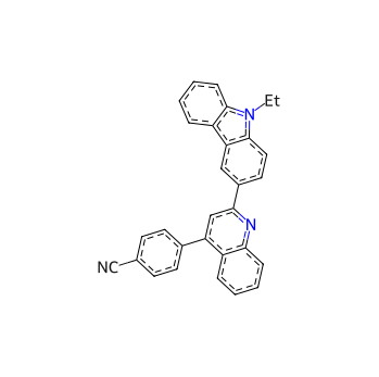 CCn1c2ccccc2c2cc(-c3cc(-c4ccc(C#N)cc4)c4ccccc4n3)ccc21